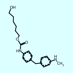 CNc1ccc(Cc2ccc(NC(=O)OCCCCCCO)cc2)cc1